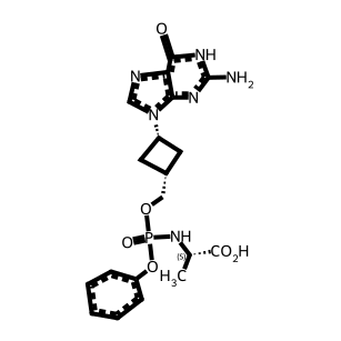 C[C@H](NP(=O)(OC[C@H]1C[C@@H](n2cnc3c(=O)[nH]c(N)nc32)C1)Oc1ccccc1)C(=O)O